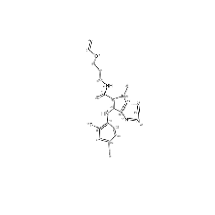 C=COCCONC(=O)c1c(Nc2ccc(I)cc2F)c2nnccc2n1C